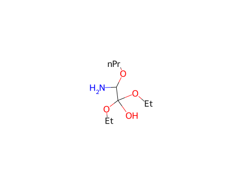 CCCOC(N)C(O)(OCC)OCC